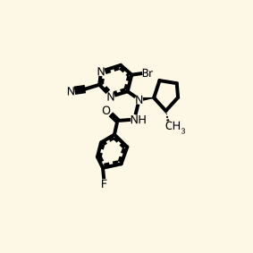 C[C@H]1CCC[C@@H]1N(NC(=O)c1ccc(F)cc1)c1nc(C#N)ncc1Br